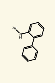 [2H]Nc1ccccc1-c1ccccc1